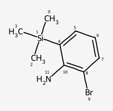 C[Si](C)(C)c1cccc(Br)c1N